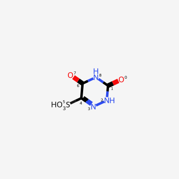 O=c1[nH]nc(S(=O)(=O)O)c(=O)[nH]1